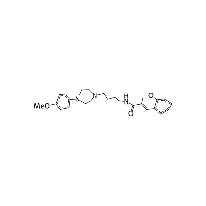 COc1ccc(N2CCN(CCCCNC(=O)C3=Cc4ccccc4OC3)CC2)cc1